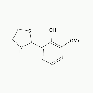 COc1cccc(C2NCCS2)c1O